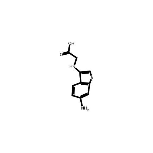 Nc1ccc2c(NCC(=O)O)csc2c1